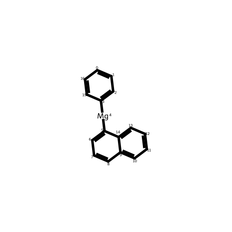 c1cc[c]([Mg][c]2cccc3ccccc23)cc1